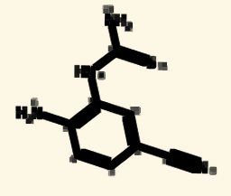 N#Cc1ccc(N)c(NC(N)=S)c1